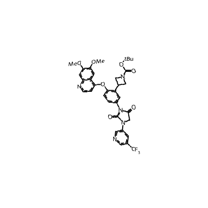 COc1cc2nccc(Oc3ccc(N4C(=O)CN(c5cncc(C(F)(F)F)c5)C4=O)cc3C3CN(C(=O)OC(C)(C)C)C3)c2cc1OC